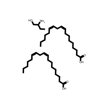 CCC(N)CO.CCCCC/C=C\C/C=C\CCCCCCCC(=O)O.CCCCC/C=C\C/C=C\CCCCCCCC(=O)O